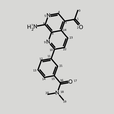 CC(=O)c1cnc(N)c2nc(-c3cccc(C(=O)N(C)C)c3)ccc12